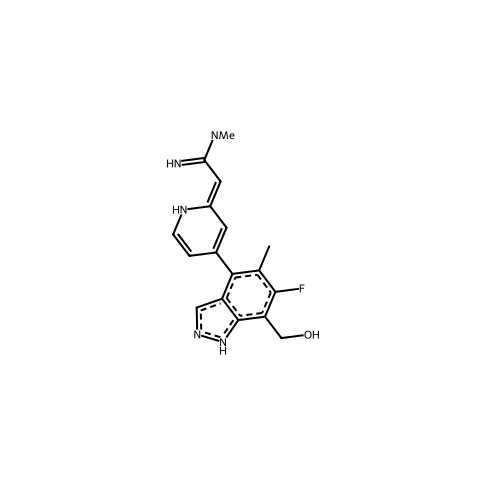 CNC(=N)/C=C1/C=C(c2c(C)c(F)c(CO)c3[nH]ncc23)C=CN1